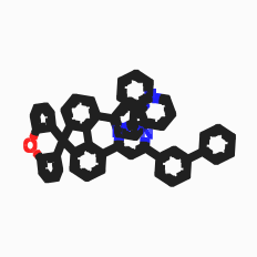 c1ccc(-c2cccc(-c3cc(-c4cccc5c4-c4c(-c6ccc7cccnc7c6)cccc4C54c5ccccc5Oc5ccccc54)nc(-c4ccccc4)n3)c2)cc1